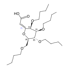 CCCCOC[C@H]1O/C(=C/C(=O)O)[C@@H](OCCCC)[C@@H](OCCCC)[C@@H]1OCCCC